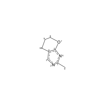 Cc1ncc2c(n1)OCCC2